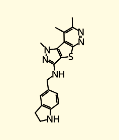 Cc1nnc2sc3c(NCc4ccc5c(c4)CCN5)nn(C)c3c2c1C